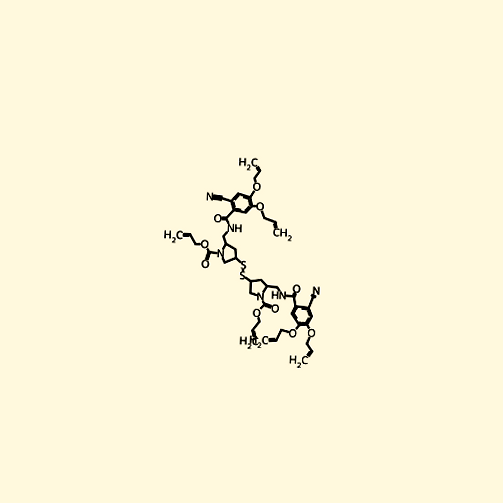 C=CCOC(=O)N1CC(SSC2CC(CNC(=O)c3cc(OCC=C)c(OCC=C)cc3C#N)N(C(=O)OCC=C)C2)CC1CNC(=O)c1cc(OCC=C)c(OCC=C)cc1C#N